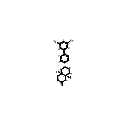 CC1CC[C@@H]2C[C@H](c3ccc(-c4cc(F)cc(F)c4)cc3)CC[C@@H]2C1